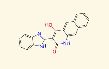 O=c1[nH]c2cc3ccccc3cc2c(O)c1-c1nc2ccccc2[nH]1